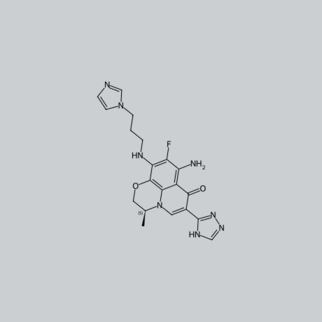 C[C@H]1COc2c(NCCCn3ccnc3)c(F)c(N)c3c(=O)c(-c4nnc[nH]4)cn1c23